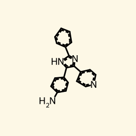 Nc1ccc(-c2[nH]c(-c3ccccc3)nc2-c2ccncc2)cc1